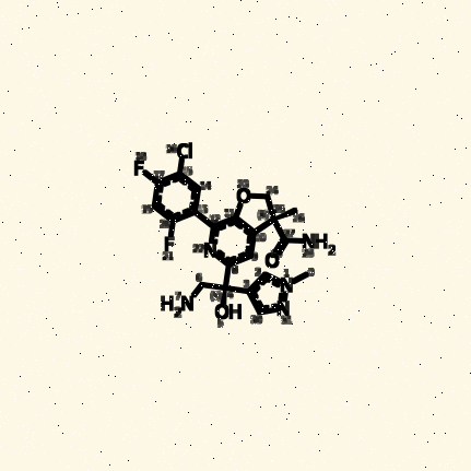 Cn1cc([C@](O)(CN)c2cc3c(c(-c4cc(Cl)c(F)cc4F)n2)OC[C@]3(C)C(N)=O)cn1